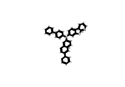 C1=CCC(c2ccc3cc(N(c4ccc(-c5ccccc5)cc4)c4ccc5c(c4)oc4ncccc45)ccc3c2)C=C1